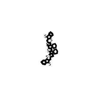 S=C1C(=Cc2cc3c(s2)-c2sc4c(c2C32CCCCC2)C2(CCCCC2)c2cc(C=C3C(=S)c5ccccc5C3=S)sc2-4)C(=S)c2ccccc21